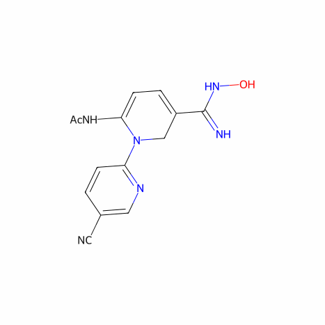 CC(=O)NC1=CC=C(C(=N)NO)CN1c1ccc(C#N)cn1